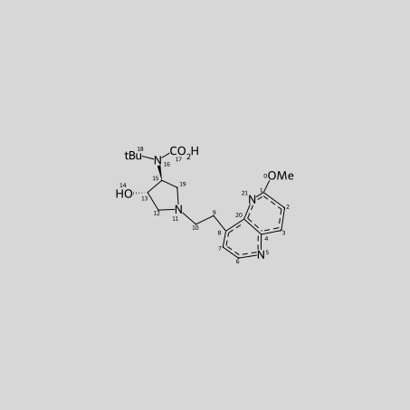 COc1ccc2nccc(CCN3C[C@H](O)[C@@H](N(C(=O)O)C(C)(C)C)C3)c2n1